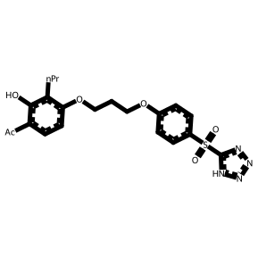 CCCc1c(OCCCOc2ccc(S(=O)(=O)c3nnn[nH]3)cc2)ccc(C(C)=O)c1O